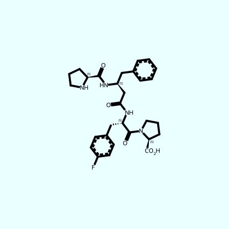 O=C(C[C@H](Cc1ccccc1)NC(=O)[C@@H]1CCCN1)N[C@@H](Cc1ccc(F)cc1)C(=O)N1CCC[C@H]1C(=O)O